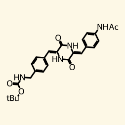 CC(=O)Nc1ccc(C=c2[nH]c(=O)c(=Cc3ccc(CNC(=O)OC(C)(C)C)cc3)[nH]c2=O)cc1